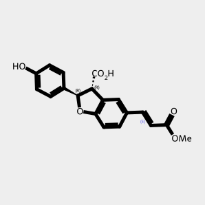 COC(=O)/C=C/c1ccc2c(c1)[C@@H](C(=O)O)[C@H](c1ccc(O)cc1)O2